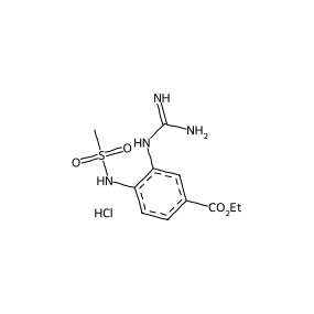 CCOC(=O)c1ccc(NS(C)(=O)=O)c(NC(=N)N)c1.Cl